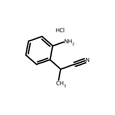 CC(C#N)c1ccccc1N.Cl